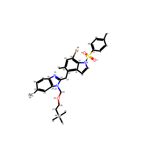 Cc1ccc(S(=O)(=O)n2ccc3c(Cc4nc5ccc(C#N)cc5n4COCC[Si](C)(C)C)c(C)cc(Br)c32)cc1